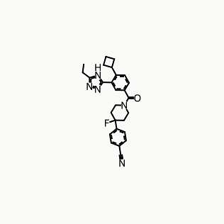 CCc1nnc(-c2cc(C(=O)N3CCC(F)(c4ccc(C#N)cc4)CC3)ccc2C2CCC2)[nH]1